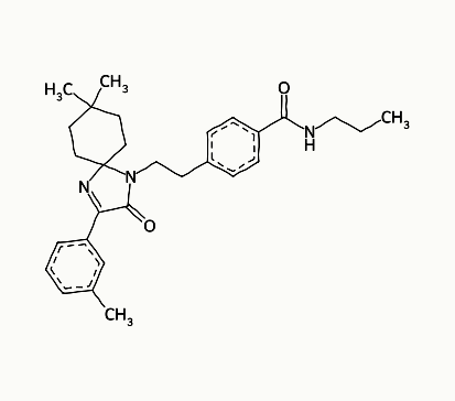 CCCNC(=O)c1ccc(CCN2C(=O)C(c3cccc(C)c3)=NC23CCC(C)(C)CC3)cc1